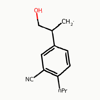 [CH2]C(CO)c1ccc(CCC)c(C#N)c1